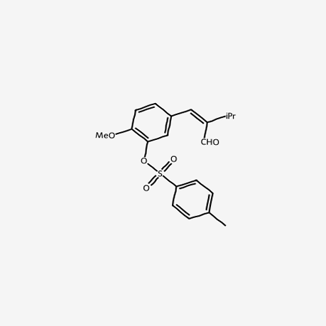 COc1ccc(/C=C(\C=O)C(C)C)cc1OS(=O)(=O)c1ccc(C)cc1